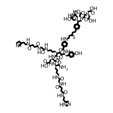 NC(=O)[C@@H](CCCCNC(=O)CNC(=O)CCC(=O)NCCc1cnc[nH]1)NC(=O)[C@@H](CCC(=O)O)NC(=O)[C@@H](CCCCNC(=O)CNC(=O)CCC(=O)NCCC1=CN=CC1)CC(=O)[C@@H](Cc1ccc(O)cc1)NC(=O)c1ccc(NCCC(=S)CCc2ccc(C(CN(CCN(CC(=O)O)CC(=O)O)CC(=O)O)N(CC(=O)O)CC(=O)O)cc2)cc1